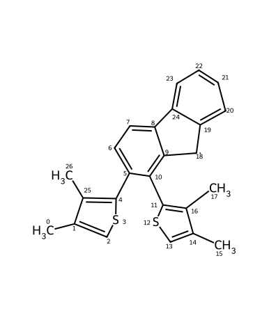 Cc1csc(-c2ccc3c(c2-c2scc(C)c2C)[CH]c2ccccc2-3)c1C